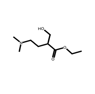 CCOC(=O)C(CO)CCN(C)C